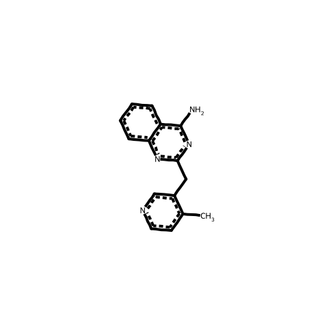 Cc1ccncc1Cc1nc(N)c2ccccc2n1